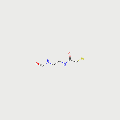 O=CNCCNC(=O)CS